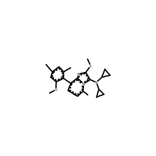 COc1cc(C)cc(C)c1-c1ccc(C)n2c(N(C3CC3)C3CC3)c(SC)nc12